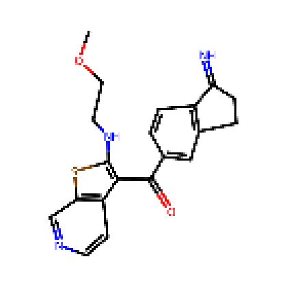 COCCNc1sc2cnccc2c1C(=O)c1ccc2c(c1)CCC2=N